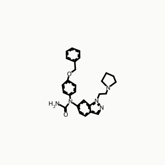 NC(=O)N(c1ccc(OCc2ccccc2)cc1)c1ccc2cnn(CCN3CCCC3)c2c1